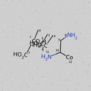 CC(=O)O.CC(=O)O.CC(=O)O.CC(=O)O.NC[CH](N)[Co]